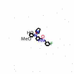 COc1cccc(N(c2cccc(C(=O)NCc3cccc(F)c3)c2)C2CC3CCC(C2)N3C(=O)O)c1